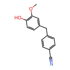 COc1cc(Cc2ccc(C#N)cc2)ccc1O